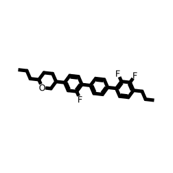 CCCc1ccc(-c2ccc(-c3ccc(C4CCC(CCC)OC4)cc3F)cc2)c(F)c1F